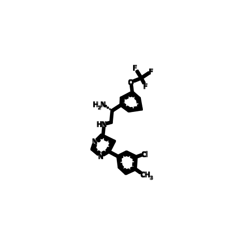 Cc1ccc(-c2cc(NC[C@H](N)c3cccc(OC(F)(F)F)c3)ncn2)cc1Cl